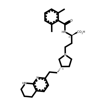 Cc1cccc(C)c1C(=O)N[C@H](CCN1CC[C@H](CCc2ccc3c(n2)NCCC3)C1)C(=O)O